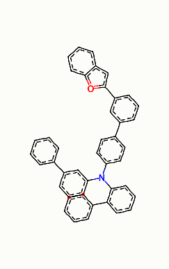 c1ccc(-c2cccc(N(c3ccc(-c4cccc(-c5cc6ccccc6o5)c4)cc3)c3ccccc3-c3ccccc3)c2)cc1